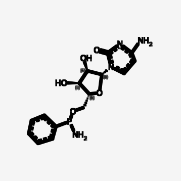 Nc1ccn([C@@H]2O[C@H](COP(N)c3ccccc3)[C@@H](O)[C@H]2O)c(=O)n1